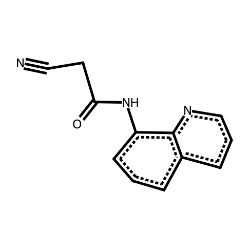 N#CCC(=O)Nc1cccc2cccnc12